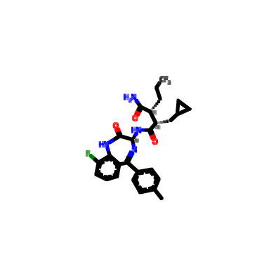 Cc1ccc(C2=N[C@H](NC(=O)[C@@H](CC3CC3)[C@@H](CCC(F)(F)F)C(N)=O)C(=O)Nc3c(F)cccc32)cc1